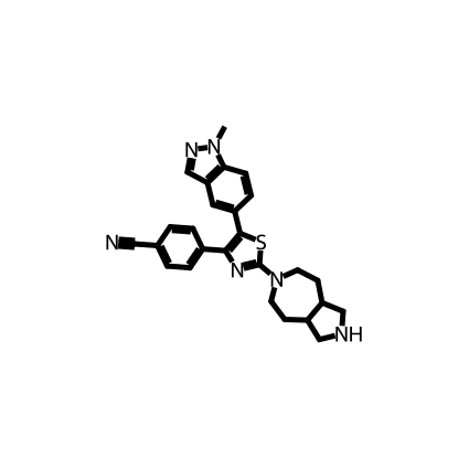 Cn1ncc2cc(-c3sc(N4CCC5CNCC5CC4)nc3-c3ccc(C#N)cc3)ccc21